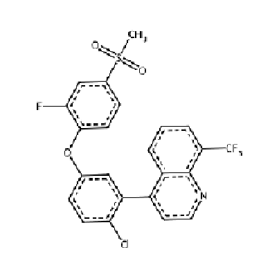 CS(=O)(=O)c1ccc(Oc2ccc(Cl)c(-c3ccnc4c(C(F)(F)F)cccc34)c2)c(F)c1